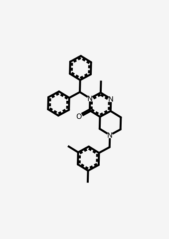 Cc1cc(C)cc(CN2CCc3nc(C)n(C(c4ccccc4)c4ccccc4)c(=O)c3C2)c1